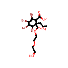 CC(O)CC1(C(=O)OCCOCCO)C(Br)=C(Br)C(Br)=C(Br)C1C(=O)O